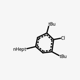 CCCCCCCc1cc(C(C)(C)C)c(Cl)c(C(C)(C)C)c1